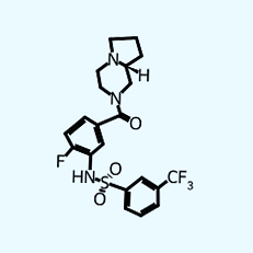 O=C(c1ccc(F)c(NS(=O)(=O)c2cccc(C(F)(F)F)c2)c1)N1CCN2CCC[C@@H]2C1